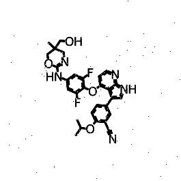 CC(C)Oc1ccc(-c2c[nH]c3nccc(Oc4c(F)cc(NC5=NCC(C)(CO)CO5)cc4F)c23)cc1C#N